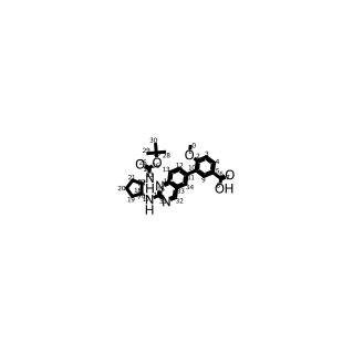 COc1ccc(C(=O)O)cc1-c1ccc2nc(N[C@@H]3CCC[C@@H]3NC(=O)OC(C)(C)C)ncc2c1